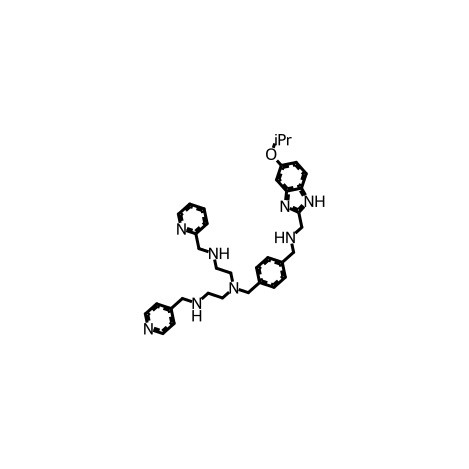 CC(C)Oc1ccc2[nH]c(CNCc3ccc(CN(CCNCc4ccncc4)CCNCc4ccccn4)cc3)nc2c1